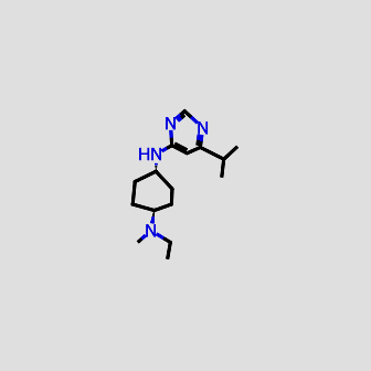 CCN(C)[C@H]1CC[C@H](Nc2cc(C(C)C)ncn2)CC1